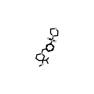 COC1(C(C)C)CCCN(Cc2cccc(S(=O)(=O)N3CCOCC3)c2)C1